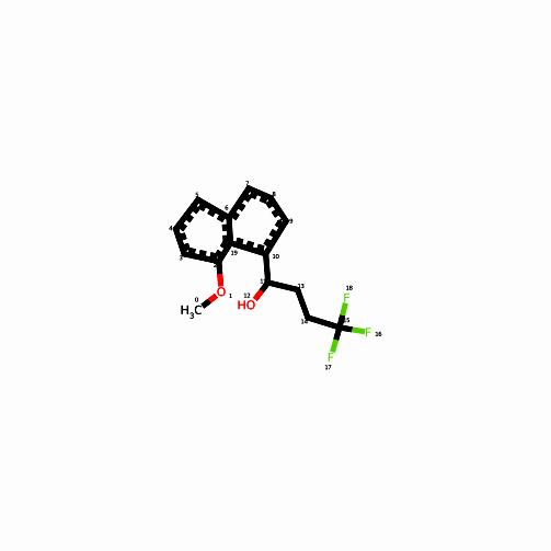 COc1cccc2cccc(C(O)CCC(F)(F)F)c12